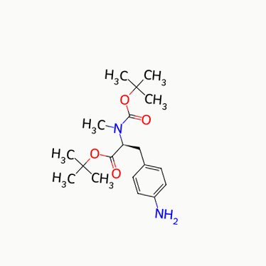 CN(C(=O)OC(C)(C)C)[C@@H](Cc1ccc(N)cc1)C(=O)OC(C)(C)C